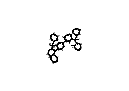 CC1(c2ccccc2)c2ccccc2Oc2c(-c3ccc4c(c3)C(C)(c3ccccc3)c3ccc5ccccc5c3-4)cccc21